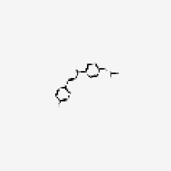 O=C(/C=C/c1ccc(O)cc1)c1ccc(OC(F)F)cc1